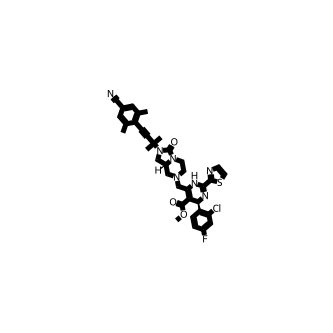 COC(=O)C1=C(CN2CCN3C(=O)N(C(C)(C)C#Cc4c(C)cc(C#N)cc4C)C[C@@H]3C2)NC(c2nccs2)=N[C@H]1c1ccc(F)cc1Cl